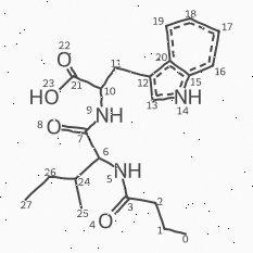 CCCC(=O)NC(C(=O)NC(Cc1c[nH]c2ccccc12)C(=O)O)C(C)CC